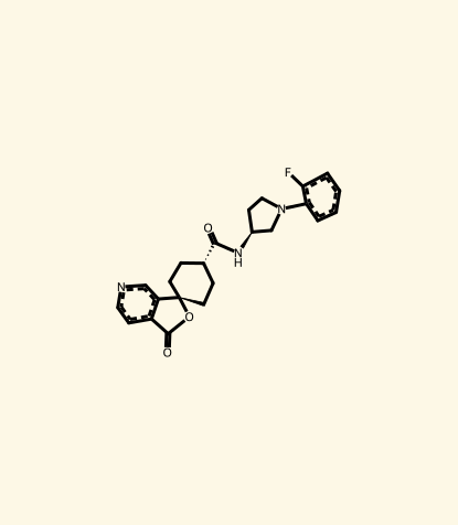 O=C1O[C@]2(CC[C@@H](C(=O)N[C@H]3CCN(c4ccccc4F)C3)CC2)c2cnccc21